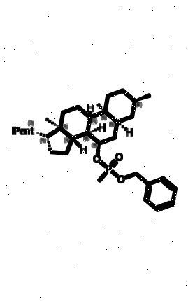 CCC[C@@H](C)[C@H]1CC[C@H]2[C@@H]3[C@H](OP(C)(=O)OCc4ccccc4)C[C@@H]4C[C@H](C)CC[C@]4(C)[C@H]3CC[C@]12C